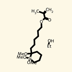 C=C(C)C(=O)OCCCCCCC1(OC)CCCC[Si]1(OC)OC.CCO